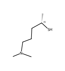 C[C@H](S)CCCN(C)C